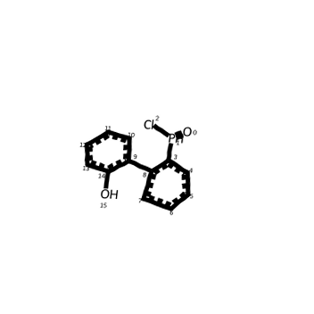 O=[PH](Cl)c1ccccc1-c1ccccc1O